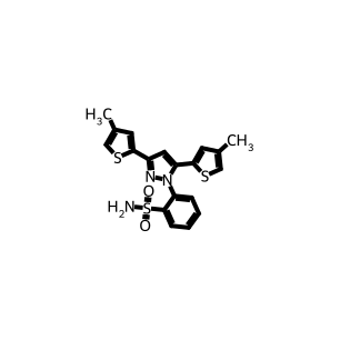 Cc1csc(-c2cc(-c3cc(C)cs3)n(-c3ccccc3S(N)(=O)=O)n2)c1